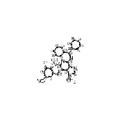 CCc1cc(C#N)nc(F)c1N(C)c1cc2c(ncn2C)c(N=C(c2ccccc2)c2ccccc2)n1